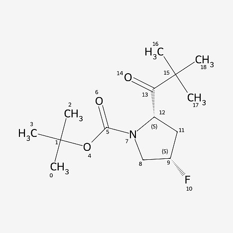 CC(C)(C)OC(=O)N1C[C@@H](F)C[C@H]1C(=O)C(C)(C)C